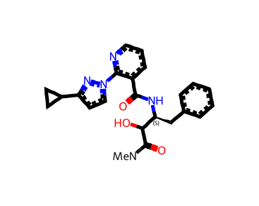 CNC(=O)C(O)[C@H](Cc1ccccc1)NC(=O)c1cccnc1-n1ccc(C2CC2)n1